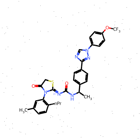 CCCc1ccc(C)cc1N1C(=O)CS/C1=N\C(=O)NC(C)c1ccc(-c2ncn(-c3ccc(OC(F)(F)F)cc3)n2)cc1